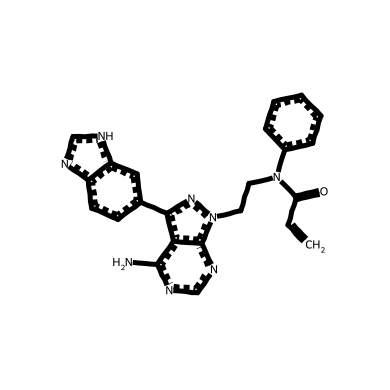 C=CC(=O)N(CCn1nc(-c2ccc3nc[nH]c3c2)c2c(N)ncnc21)c1ccccc1